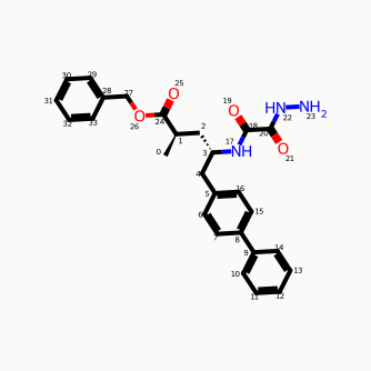 C[C@H](C[C@@H](Cc1ccc(-c2ccccc2)cc1)NC(=O)C(=O)NN)C(=O)OCc1ccccc1